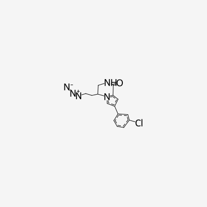 [N-]=[N+]=NCCC1CNC(=O)c2cc(-c3cccc(Cl)c3)cn21